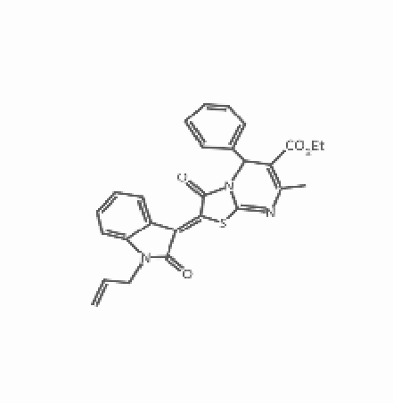 C=CCN1C(=O)/C(=c2\sc3n(c2=O)C(c2ccccc2)C(C(=O)OCC)=C(C)N=3)c2ccccc21